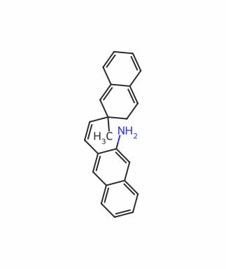 CC1(/C=C\c2cc3ccccc3cc2N)C=c2ccccc2=CC1